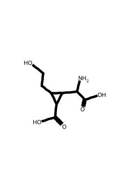 NC(C(=O)O)C1C(CCO)C1C(=O)O